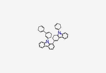 C1=CCCC(n2c3c(c4ccccc42)C=C(c2cccc4c5ccccc5n(C5=CC(C6=CCCC=C6)=CCC5)c24)CC3)=C1